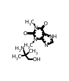 CC(C)(N)CO.Cn1c(=O)c2[nH]cnc2n(C)c1=O